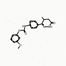 COc1cccc(OC(=O)Nc2ccc(C3=NNC(=O)CC3C)cc2)c1